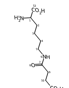 NC(CCCCNC(=O)CCC(=O)O)C(=O)O